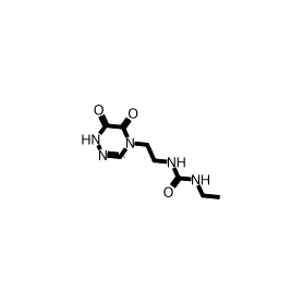 CCNC(=O)NCCn1[c]n[nH]c(=O)c1=O